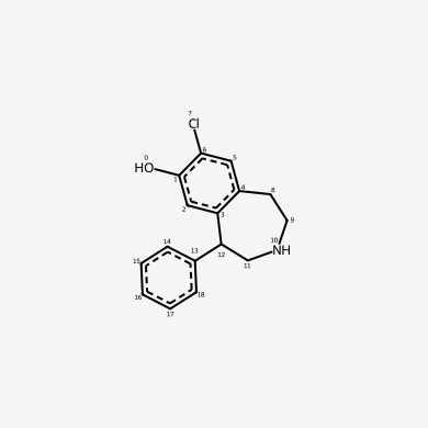 Oc1cc2c(cc1Cl)CCNCC2c1ccccc1